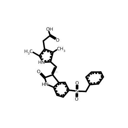 Cc1[nH]c(/C=C2\C(=O)Nc3ccc(S(=O)(=O)Cc4ccccc4)cc32)c(C)c1CC(=O)O